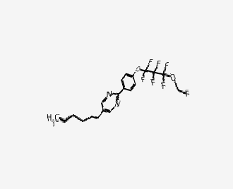 CCCCCCc1cnc(-c2ccc(OC(F)(F)C(F)(F)C(F)(F)OCF)cc2)nc1